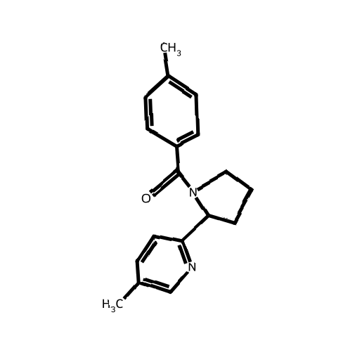 Cc1ccc(C(=O)N2CCCC2c2ccc(C)cn2)cc1